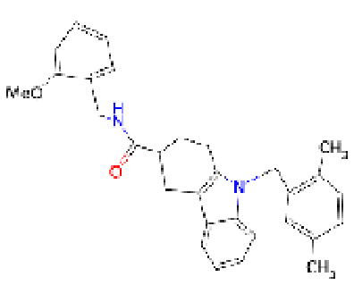 COc1ccccc1CNC(=O)C1CCc2c(c3ccccc3n2Cc2cc(C)ccc2C)C1